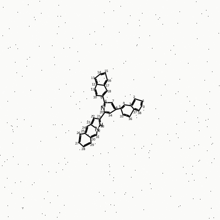 c1ccc2cc(-c3cc(-c4ccc5ccccc5c4)nc(-c4cc5cc6ccccc6cn5n4)c3)ccc2c1